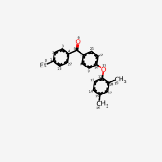 CCc1ccc(C(=O)c2ccc(Oc3ccc(C)cc3C)cc2)cc1